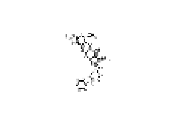 Cc1cc(C)c(CN2CCc3sc(CC4CCN(Cc5ccccc5)CC4)c(C)c3C2=O)c(=O)[nH]1